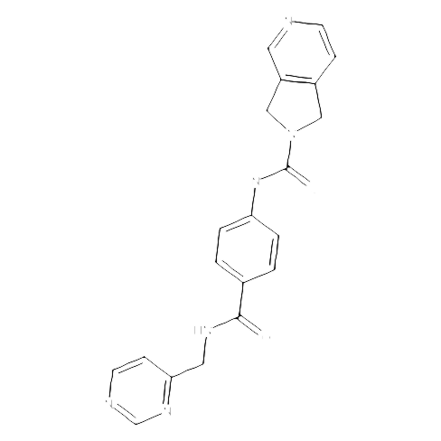 O=C(NCc1ccncn1)c1ccc(NC(=O)N2Cc3ccncc3C2)cc1